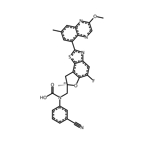 COc1cnc2c(-c3nc4cc(F)c5c(c4s3)C[C@](C)(CN(C(=O)O)c3cccc(C#N)c3)O5)cc(C)cc2n1